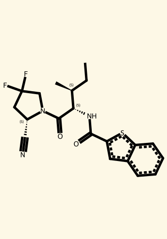 CC[C@H](C)[C@H](NC(=O)c1cc2ccccc2s1)C(=O)N1CC(F)(F)C[C@H]1C#N